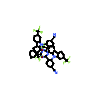 N#Cc1ccc(-c2nc(-c3ccccc3)nc(-c3ccc(C#N)cc3-n3c4cc(C(F)(F)F)ccc4c4ccc(C(F)(F)F)cc43)n2)c(-n2c3cc(C(F)(F)F)ccc3c3ccc(C(F)(F)F)cc32)c1